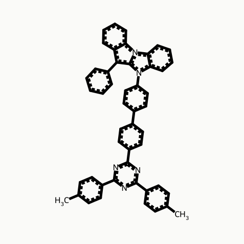 Cc1ccc(-c2nc(-c3ccc(C)cc3)nc(-c3ccc(-c4ccc(-n5c6ccccc6n6c7ccccc7c(-c7ccccc7)c56)cc4)cc3)n2)cc1